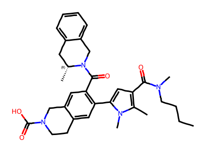 CCCCN(C)C(=O)c1cc(-c2cc3c(cc2C(=O)N2Cc4ccccc4C[C@H]2C)CN(C(=O)O)CC3)n(C)c1C